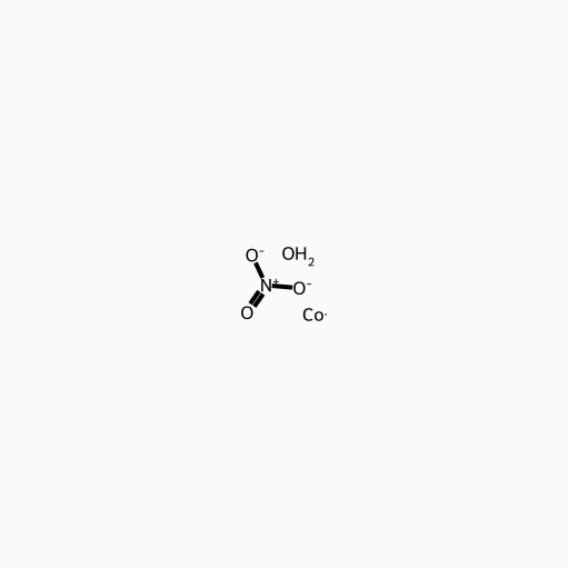 O.O=[N+]([O-])[O-].[Co]